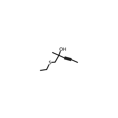 CC#CC(C)(O)CSCC